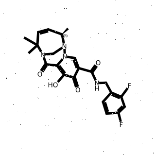 C[C@@H]1C=CC(C)(C)N2CN1n1cc(C(=O)NCc3ccc(F)cc3F)c(=O)c(O)c1C2=O